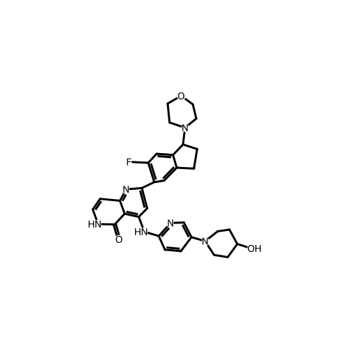 O=c1[nH]ccc2nc(-c3cc4c(cc3F)C(N3CCOCC3)CC4)cc(Nc3ccc(N4CCC(O)CC4)cn3)c12